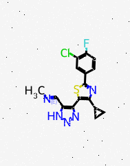 C/N=C/c1[nH]nnc1-c1sc(-c2ccc(F)c(Cl)c2)nc1C1CC1